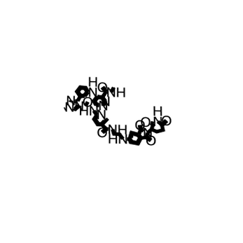 CNC(=O)c1nnc(Nc2ccc(C(=O)NCCNc3ccc4c(c3)C(=O)N(C3CCC(=O)NC3=O)C4=O)cn2)cc1Nc1cccc(-c2ncn(C)n2)c1OC